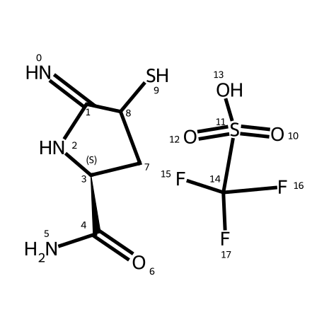 N=C1N[C@H](C(N)=O)CC1S.O=S(=O)(O)C(F)(F)F